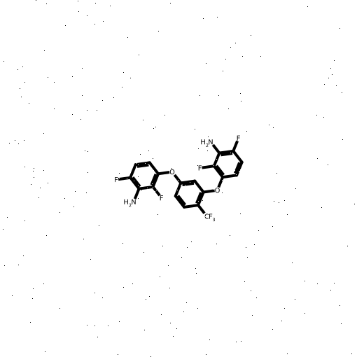 Nc1c(F)ccc(Oc2ccc(C(F)(F)F)c(Oc3ccc(F)c(N)c3F)c2)c1F